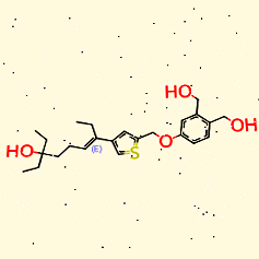 CC/C(=C\CCC(O)(CC)CC)c1csc(COc2ccc(CO)c(CO)c2)c1